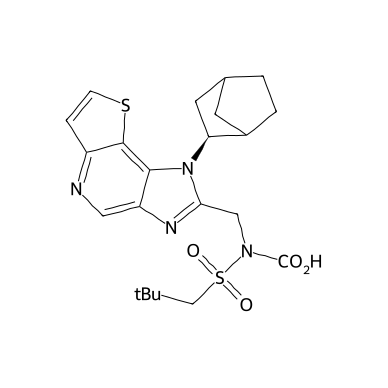 CC(C)(C)CS(=O)(=O)N(Cc1nc2cnc3ccsc3c2n1[C@H]1CC2CCC1C2)C(=O)O